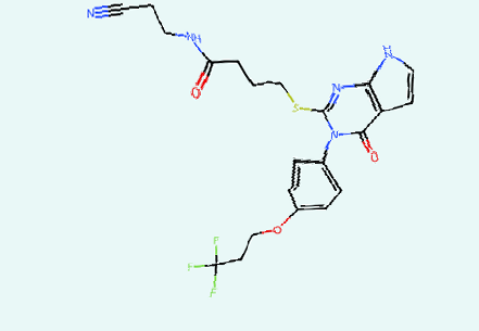 N#CCCNC(=O)CCCSc1nc2[nH]ccc2c(=O)n1-c1ccc(OCCC(F)(F)F)cc1